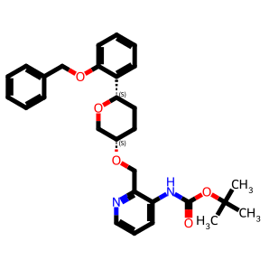 CC(C)(C)OC(=O)Nc1cccnc1CO[C@H]1CC[C@@H](c2ccccc2OCc2ccccc2)OC1